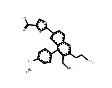 CCCc1nc2ccc(-c3nc(C(=O)O)cs3)cc2c(-c2ccc(C)cc2)c1CN.Cl.Cl